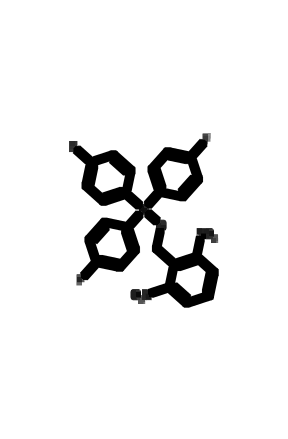 O=[N+]([O-])c1cccc([N+](=O)[O-])c1CO[Si](c1ccc(F)cc1)(c1ccc(F)cc1)c1ccc(F)cc1